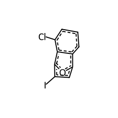 Clc1cccc2c3cc(I)c(o3)c12